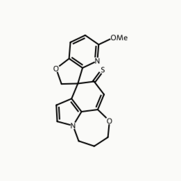 COc1ccc2c(n1)C1(CO2)C(=S)C=C2OCCCn3ccc1c32